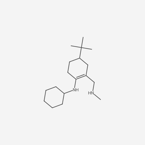 CNCC1=C(NC2CCCCC2)CCC(C(C)(C)C)C1